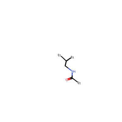 CCC(=O)NCC(CC)CC